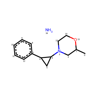 CC1CN(C2CC2c2ccccc2)CCO1.N